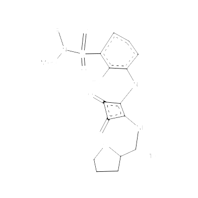 CC[C@@H](Nc1c(Nc2cccc(S(=O)(=O)N(CC)OC)c2O)c(=O)c1=O)C1CCCO1